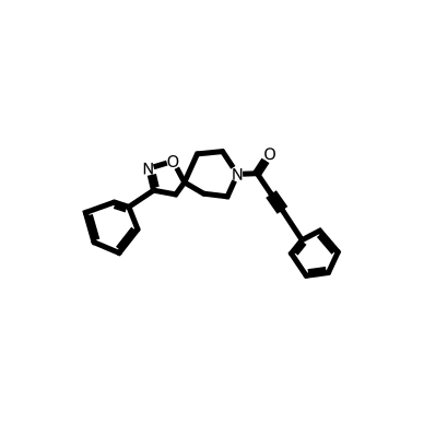 O=C(C#Cc1ccccc1)N1CCC2(CC1)CC(c1ccccc1)=NO2